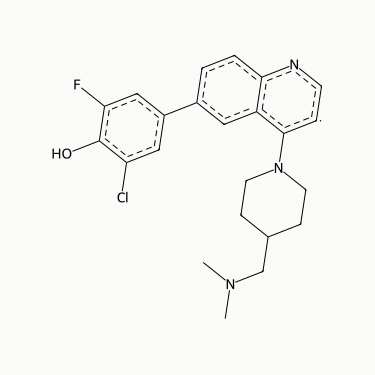 CN(C)CC1CCN(c2[c]cnc3ccc(-c4cc(F)c(O)c(Cl)c4)cc23)CC1